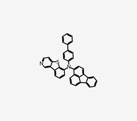 c1ccc(-c2ccc(N(c3ccc4c5c(cccc35)-c3ccccc3-4)c3cccc4c3sc3ccncc34)cc2)cc1